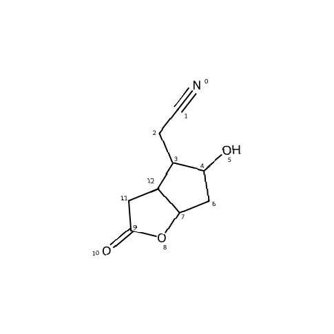 N#CCC1C(O)CC2OC(=O)CC21